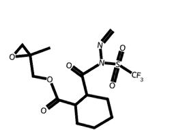 C=NN(C(=O)C1CCCCC1C(=O)OCC1(C)CO1)S(=O)(=O)C(F)(F)F